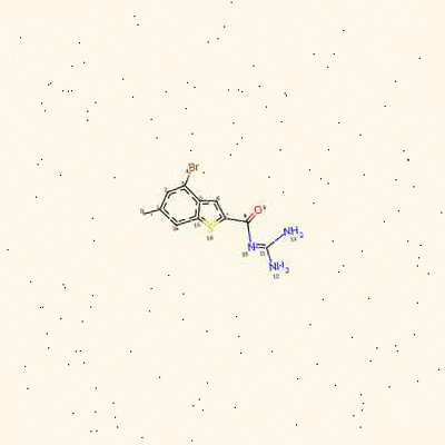 Cc1cc(Br)c2cc(C(=O)N=C(N)N)sc2c1